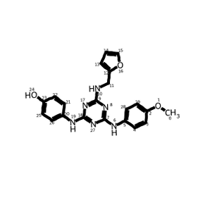 COc1ccc(Nc2nc(NCc3ccco3)nc(Nc3ccc(O)cc3)n2)cc1